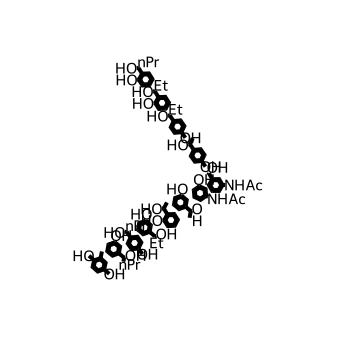 CC(=O)Nc1cccc(CO)c1.CC(=O)Nc1cccc(O)c1.CC(O)c1ccc(O)cc1.CC(O)c1cccc(O)c1.CC(O)c1ccccc1O.CCC(O)c1ccc(O)cc1.CCC(O)c1cccc(O)c1.CCC(O)c1ccccc1O.CCCC(O)c1ccc(O)cc1.CCCC(O)c1cccc(O)c1.CCCC(O)c1ccccc1O.Cc1cc(O)ccc1O